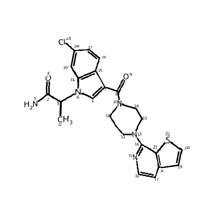 CC(C(N)=O)n1cc(C(=O)N2CCN(c3nccc4ccsc34)CC2)c2ccc(Cl)cc21